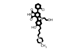 CN1CCN(CCCCc2cc3c(cc2O)c2c4c(c(-c5ccccc5Cl)cc2n3CCO)C(=O)NC4=O)CC1